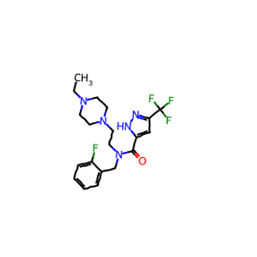 CCN1CCN(CCN(Cc2ccccc2F)C(=O)c2cc(C(F)(F)F)n[nH]2)CC1